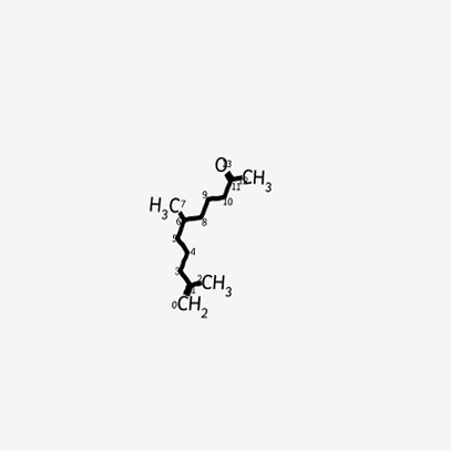 C=C(C)CCCC(C)CCCC(C)=O